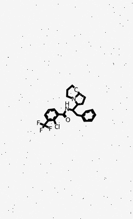 O=C(NC(Cc1ccccc1)C1CCC2CCCCN21)c1cccc(C(F)(F)F)c1Cl